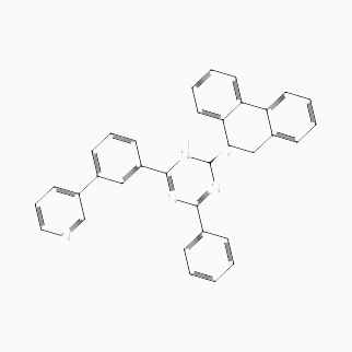 c1ccc(C2=NC([C@@H]3Cc4ccccc4-c4ccccc43)NC(c3cccc(-c4cccnc4)c3)=N2)cc1